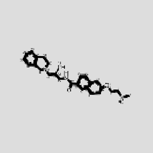 CN(C)CCOc1ccc2cc(C(=O)NC[C@H](O)CN3CCc4ccccc4C3)ccc2c1